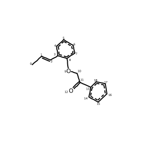 CC=Cc1ccccc1OCC(=O)c1ccccc1